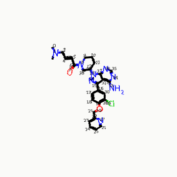 CN(C)C/C=C/C(=O)N1CCCC(n2nc(-c3ccc(OCc4ccccn4)c(Cl)c3)c3c(N)ncnc32)C1